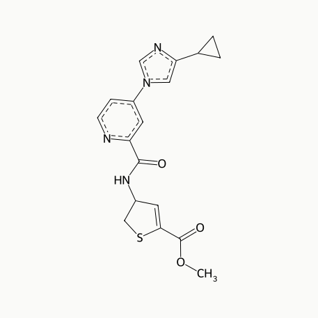 COC(=O)C1=CC(NC(=O)c2cc(-n3cnc(C4CC4)c3)ccn2)CS1